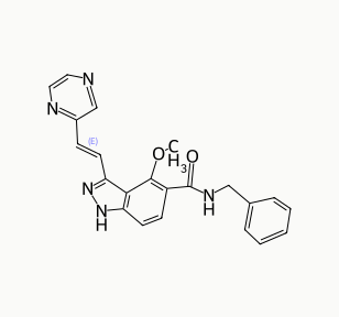 COc1c(C(=O)NCc2ccccc2)ccc2[nH]nc(/C=C/c3cnccn3)c12